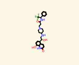 O=C(CCN1CCC(NC[C@H](O)c2ccc(O)c3[nH]c(=O)ccc23)CC1)NC(c1ccccc1)C(F)(F)F